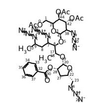 CC(=O)OCC1O[C@H](O[C@H](C(CC(C)N=[N+]=[N-])N=[N+]=[N-])[C@@H](C)O[C@@H]2O[C@H](CN=[N+]=[N-])C[C@@H]2OC(=O)c2ccccc2)C(N=[N+]=[N-])[C@@H](OC(C)=O)[C@@H]1OC(C)=O